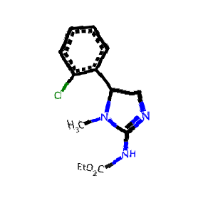 CCOC(=O)NC1=NCC(c2ccccc2Cl)N1C